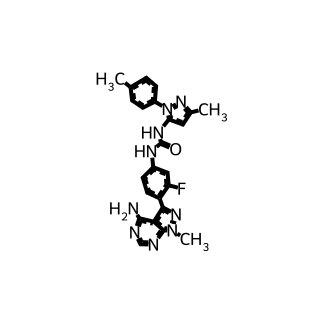 Cc1ccc(-n2nc(C)cc2NC(=O)Nc2ccc(-c3nn(C)c4ncnc(N)c34)c(F)c2)cc1